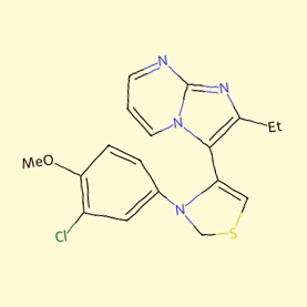 CCc1nc2ncccn2c1C1=CSCN1c1ccc(OC)c(Cl)c1